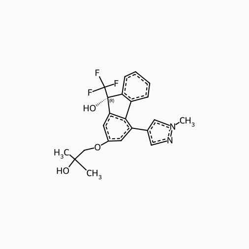 Cn1cc(-c2cc(OCC(C)(C)O)cc3c2-c2ccccc2[C@]3(O)C(F)(F)F)cn1